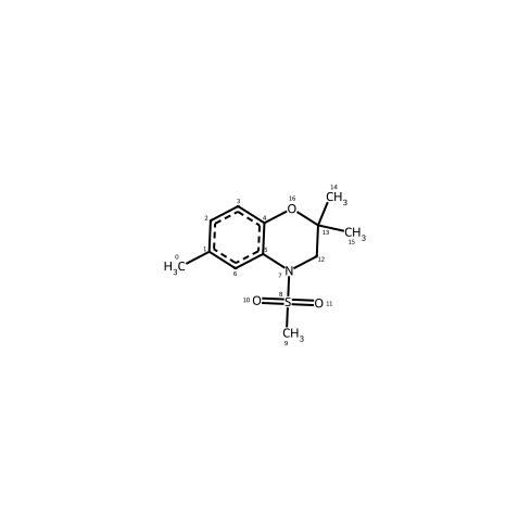 Cc1ccc2c(c1)N(S(C)(=O)=O)CC(C)(C)O2